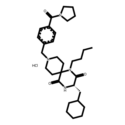 CCCCN1C(=O)[C@H](CC2CCCCC2)NC(=O)C12CCN(Cc1ccc(C(=O)N3CCCC3)cc1)CC2.Cl